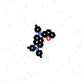 Cc1ccc(N(c2ccc(C)cc2)c2ccc3ccc4c(N(c5ccc(C)cc5)c5cc6ccc7cccc8oc(c5)c6c78)ccc5ccc2c3c54)cc1